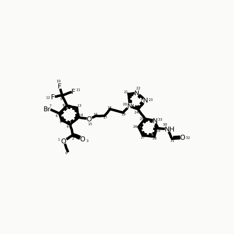 COC(=O)c1cc(Br)c(C(F)(F)F)cc1OCCCCn1cnnc1-c1cccc(NC=O)n1